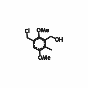 COc1cc(CCl)c(OC)c(CO)c1C